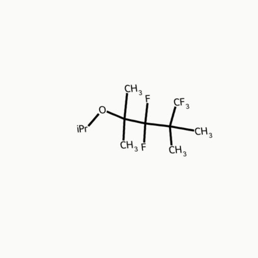 CC(C)OC(C)(C)C(F)(F)C(C)(C)C(F)(F)F